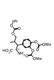 CCCOC(=O)OCC(C)C(c1ccc(OC(=O)OC)c(OC(=O)OC)c1)[C@H](N)C(=O)O